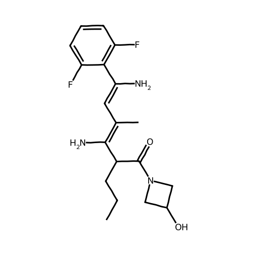 CCCC(C(=O)N1CC(O)C1)/C(N)=C(C)/C=C(\N)c1c(F)cccc1F